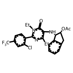 CCc1nc(-c2ccc(C(F)(F)F)cc2Cl)n(CC)c(=O)c1N[C@H]1c2ccccc2C[C@@H]1OC(C)=O